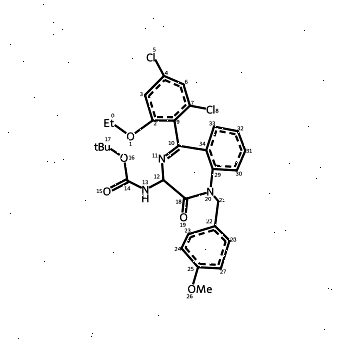 CCOc1cc(Cl)cc(Cl)c1C1=NC(NC(=O)OC(C)(C)C)C(=O)N(Cc2ccc(OC)cc2)c2ccccc21